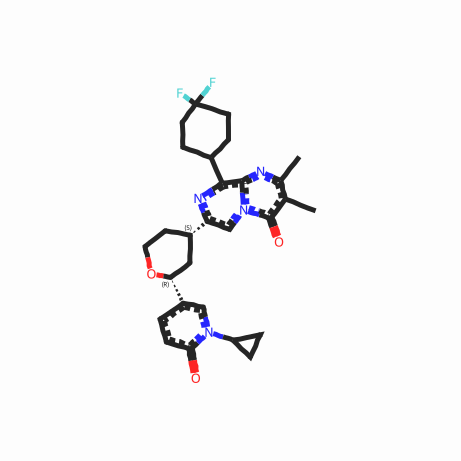 Cc1nc2c(C3CCC(F)(F)CC3)nc([C@H]3CCO[C@@H](c4ccc(=O)n(C5CC5)c4)C3)cn2c(=O)c1C